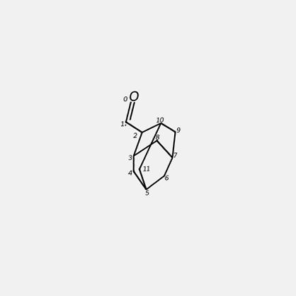 O=[C]C1C2CC3CC(C2)CC1C3